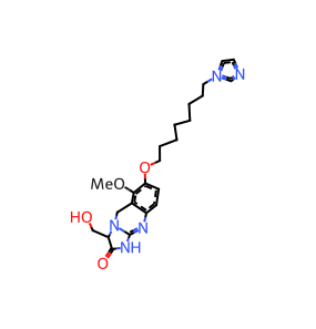 COc1c(OCCCCCCCCn2ccnc2)ccc2c1CN1C(=N2)NC(=O)C1CO